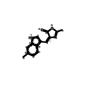 CC1=N/C(=C/c2c[nH]c3cc(C)ccc23)C(=O)O1